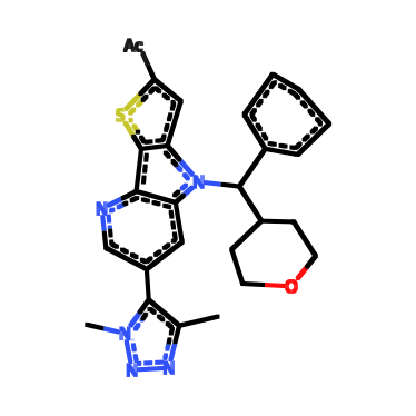 CC(=O)c1cc2c(s1)c1ncc(-c3c(C)nnn3C)cc1n2C(c1ccccc1)C1CCOCC1